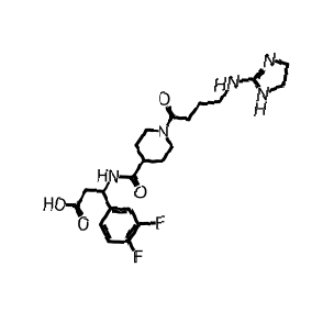 O=C(O)CC(NC(=O)C1CCN(C(=O)CCCNC2=NCCN2)CC1)c1ccc(F)c(F)c1